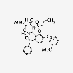 C=CCS(=O)(=O)N(C(=C)C(=O)OC)C(N)c1cc(C)ccc1C(=O)c1ccccc1.COc1ccccc1